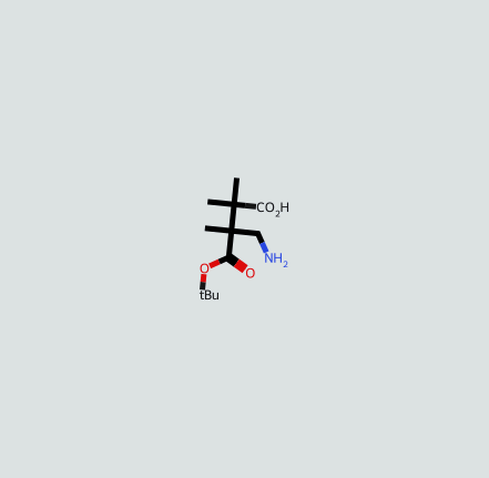 CC(C)(C)OC(=O)C(C)(CN)C(C)(C)C(=O)O